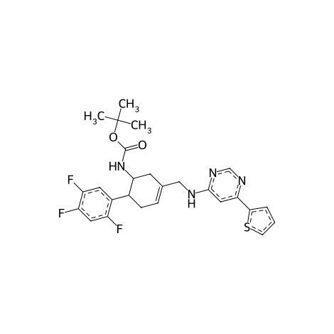 CC(C)(C)OC(=O)NC1CC(CNc2cc(-c3cccs3)ncn2)=CCC1c1cc(F)c(F)cc1F